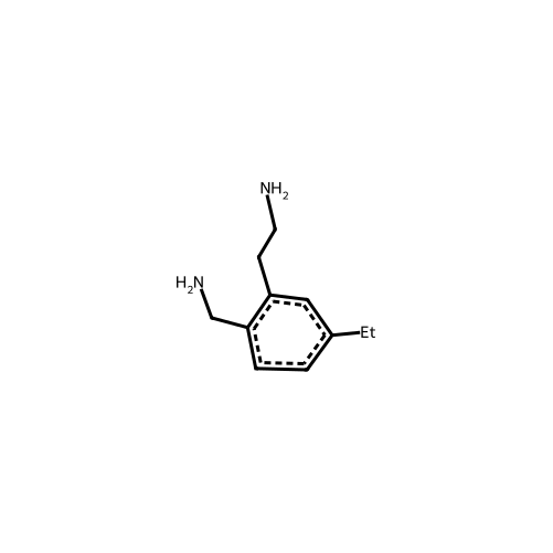 CCc1ccc(CN)c(CCN)c1